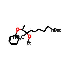 CCCCCCCCCCCCCCCC(OCC)(C(=O)O)C(C)Oc1ccccc1